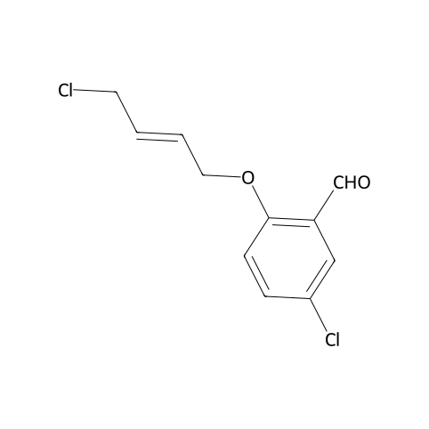 O=Cc1cc(Cl)ccc1OC/C=C/CCl